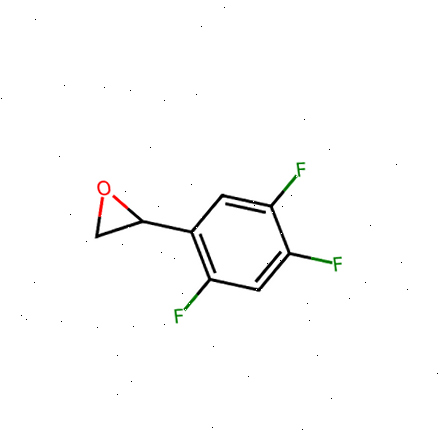 Fc1cc(F)c(C2CO2)cc1F